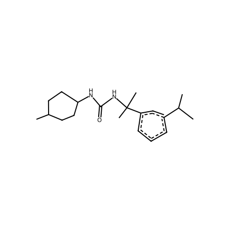 CC1CCC(NC(=O)NC(C)(C)c2cccc(C(C)C)c2)CC1